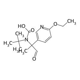 CCOc1ccc(C(C)(C=O)N(C(=O)O)C(C)(C)C)cn1